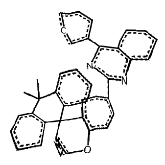 CC1(C)c2ccccc2C2(c3ccccc3Oc3ccc(-c4nc(-c5ccccc5)c5ccccc5n4)cc32)c2ccccc21